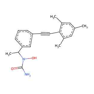 Cc1cc(C)c(C#Cc2cccc(C(C)N(O)C(N)=O)c2)c(C)c1